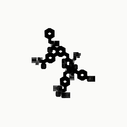 CC(C)C[C@H](NC(=O)[C@H](Cc1ccc(CP(=O)(O)O)cc1)NC(=O)c1ccc(C#N)cc1)C(=O)Cc1ccc(C(=O)NCc2ccccc2)c(-c2ccc(C(N)=O)cc2)c1